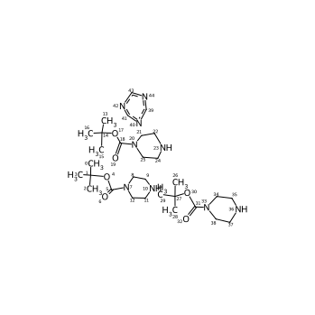 CC(C)(C)OC(=O)N1CCNCC1.CC(C)(C)OC(=O)N1CCNCC1.CC(C)(C)OC(=O)N1CCNCC1.c1ncncn1